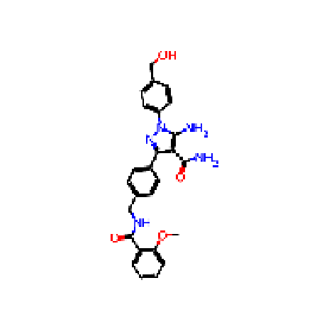 COc1ccccc1C(=O)NCc1ccc(-c2nn(-c3ccc(CO)cc3)c(N)c2C(N)=O)cc1